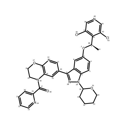 C[C@@H](Oc1ccc2c(c1)c(-c1cnc3c(c1)N(C(=O)c1ccccn1)CCO3)nn2C1CCCCO1)c1c(Cl)cncc1Cl